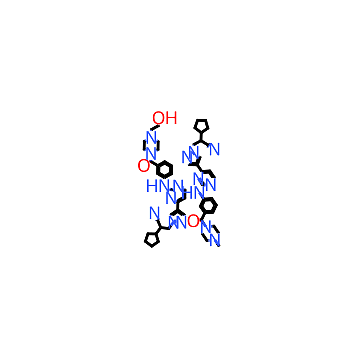 CN1CCN(C(=O)c2cccc(Nc3nccc(-c4cnn(CC(C#N)C5CCCC5)c4)n3)c2)CC1.N#CC(Cn1cc(-c2ccnc(Nc3cccc(C(=O)N4CCN(CCO)CC4)c3)n2)cn1)C1CCCC1